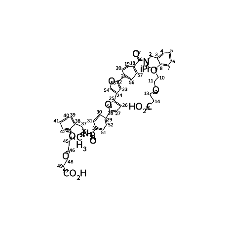 CC(C)N(Cc1ccccc1OCCOCCC(=O)O)C(=O)c1ccc(-c2cc(-c3ccc(-c4ccc(C(=O)N(C)Cc5ccccc5OCCOCCC(=O)O)cc4)o3)co2)cc1